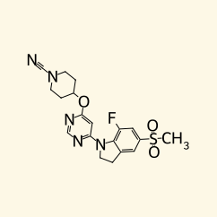 CS(=O)(=O)c1cc(F)c2c(c1)CCN2c1cc(OC2CCN(C#N)CC2)ncn1